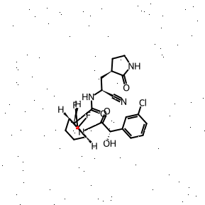 N#C[C@H](C[C@H]1CCNC1=O)NC(=O)[C@H]1[C@H]2CC[C@H](CC2(F)F)N1C(=O)[C@@H](O)c1cccc(Cl)c1